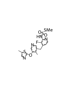 CSS(=O)(=O)Nc1nccc(Cc2cncc(Oc3ncc(C)s3)c2C)c1F